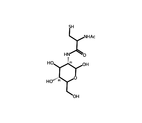 CC(=O)NC(CS)C(=O)N[C@@H]1C(O)OC(CO)[C@H](O)C1O